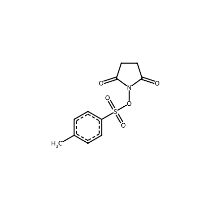 Cc1ccc(S(=O)(=O)ON2C(=O)CCC2=O)cc1